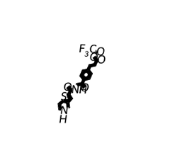 O=C(CCc1ccc(C(=O)CNC(=O)c2cc3c(s2)CCNC3)cc1)OC(=O)C(F)(F)F